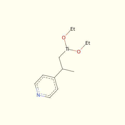 CC[O][Ti]([CH2]C(C)c1ccncc1)[O]CC